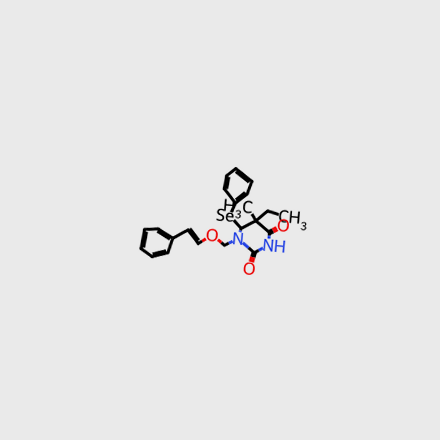 CCC1(C)C(=O)NC(=O)N(COC=Cc2ccccc2)C1[Se]c1ccccc1